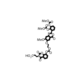 COC(=O)Oc1cccc(-c2nc3cc(OC)c(OCCOC(=O)Oc4cccc5c(=O)n(CCC(=O)O)c(=O)oc45)cc3c(=O)o2)c1OC(=O)OC